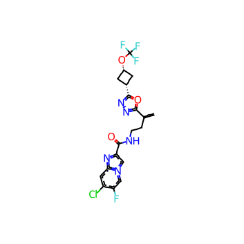 C=C(CCNC(=O)c1cn2cc(F)c(Cl)cc2n1)c1nnc([C@H]2C[C@@H](OC(F)(F)F)C2)o1